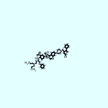 CCCN(CCC)CC[C@H](CSc1ccccc1)Nc1ccc(S(=O)(=O)Nc2ncnc3cc(N4CCN(Cc5cc(Cl)ccc5-c5ccccc5)CC4)ccc23)cc1[N+](=O)[O-]